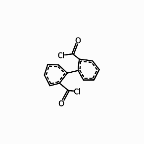 O=C(Cl)c1ccccc1-c1ccccc1C(=O)Cl